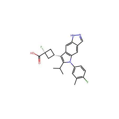 Cc1cc(-n2c(C(C)C)c([C@H]3C[C@](F)(C(=O)O)C3)c3cc4[nH]ncc4cc32)ccc1F